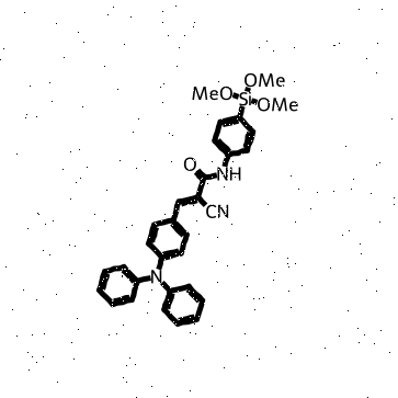 CO[Si](OC)(OC)c1ccc(NC(=O)/C(C#N)=C/c2ccc(N(c3ccccc3)c3ccccc3)cc2)cc1